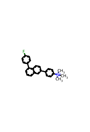 C[N+](C)(C)c1ccc(-c2ccc3c(-c4ccc(F)cc4)cccc3c2)cc1